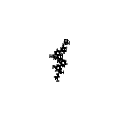 CCNCc1cncc(-c2ccc3[nH]nc(-c4nc5c(-c6cc(F)cc(NCCN(C)C)c6)nccc5[nH]4)c3n2)c1